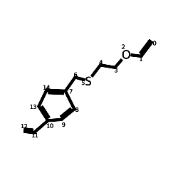 C=COCCSCc1ccc(C=C)cc1